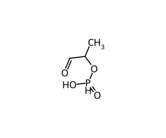 CC(C=O)O[PH](=O)O